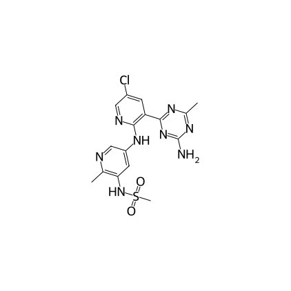 Cc1nc(N)nc(-c2cc(Cl)cnc2Nc2cnc(C)c(NS(C)(=O)=O)c2)n1